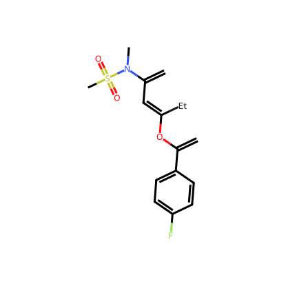 C=C(O/C(=C/C(=C)N(C)S(C)(=O)=O)CC)c1ccc(F)cc1